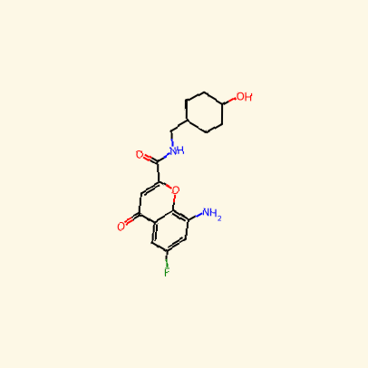 Nc1cc(F)cc2c(=O)cc(C(=O)NCC3CCC(O)CC3)oc12